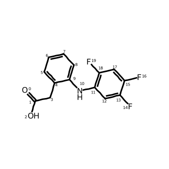 O=C(O)Cc1ccccc1Nc1cc(F)c(F)cc1F